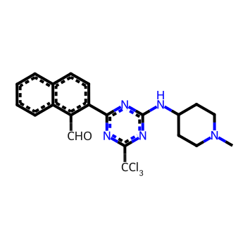 CN1CCC(Nc2nc(-c3ccc4ccccc4c3C=O)nc(C(Cl)(Cl)Cl)n2)CC1